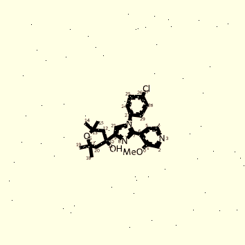 COc1cnccc1-c1nc(C2(O)CC(C)(C)OC(C)(C)C2)cn1-c1ccc(Cl)cc1